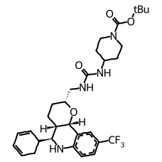 CC(C)(C)OC(=O)N1CCC(NC(=O)NC[C@H]2CC[C@@H]3[C@H](O2)c2cc(C(F)(F)F)ccc2N[C@H]3C2C=CC=CC2)CC1